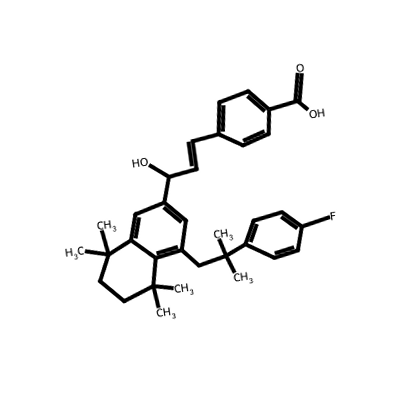 CC(C)(Cc1cc(C(O)/C=C/c2ccc(C(=O)O)cc2)cc2c1C(C)(C)CCC2(C)C)c1ccc(F)cc1